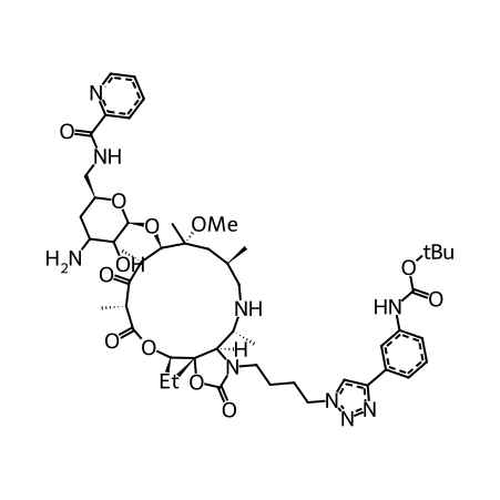 CC[C@H]1OC(=O)[C@H](C)C(=O)[C@H](C)[C@@H](O[C@@H]2O[C@H](CNC(=O)c3ccccn3)CC(N)C2O)[C@](C)(OC)C[C@@H](C)CN[C@H](C)[C@H]2N(CCCCn3cc(-c4cccc(NC(=O)OC(C)(C)C)c4)nn3)C(=O)O[C@]12C